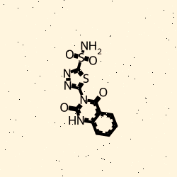 NS(=O)(=O)c1nnc(-n2c(=O)[nH]c3ccccc3c2=O)s1